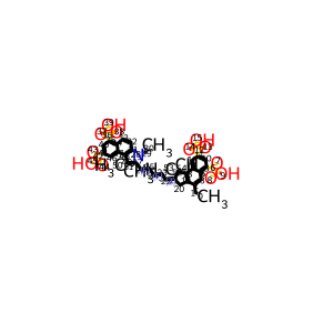 CCc1cc2c(S(=O)(=O)O)cc(S(=O)(=O)O)cc2c2c1C/C(=C/C=C/C=C/C1N(CC)c3ccc4c(S(=O)(=O)O)cc(S(=O)(=O)O)cc4c3C1(C)C)C2(C)C